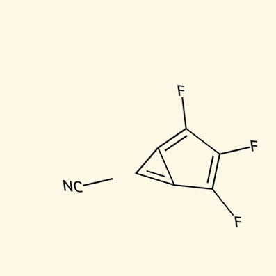 CC#N.Fc1c2cc-2c(F)c1F